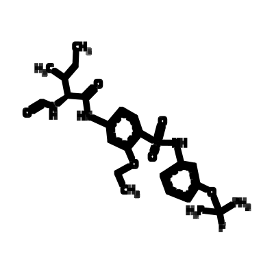 CCOc1cc(NC(=O)[C@@H](NC=O)C(C)CC)ccc1S(=O)(=O)Nc1cccc(OC(F)(P)P)c1